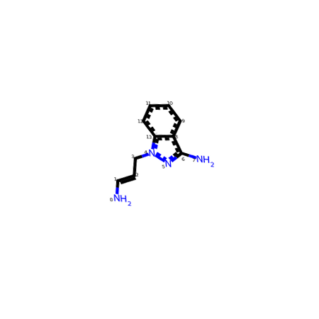 NC=CCn1nc(N)c2ccccc21